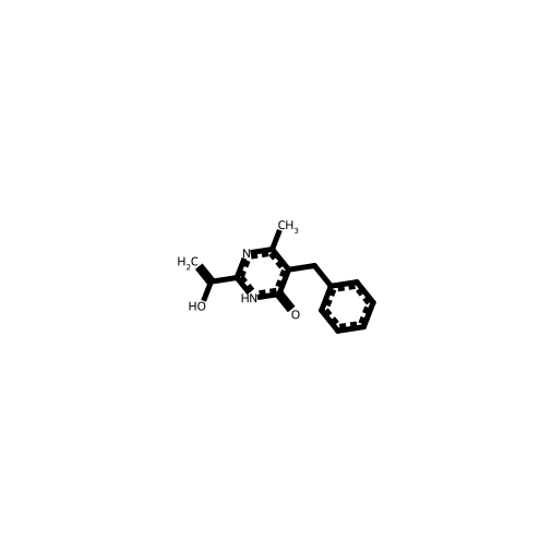 C=C(O)c1nc(C)c(Cc2ccccc2)c(=O)[nH]1